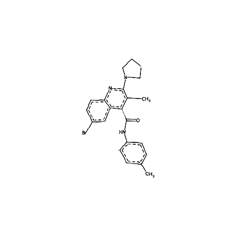 Cc1c[c]c(NC(=O)c2c(C)c(N3CCCC3)nc3ccc(Br)cc23)cc1